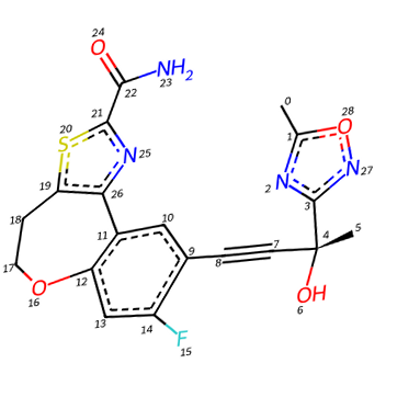 Cc1nc([C@](C)(O)C#Cc2cc3c(cc2F)OCCc2sc(C(N)=O)nc2-3)no1